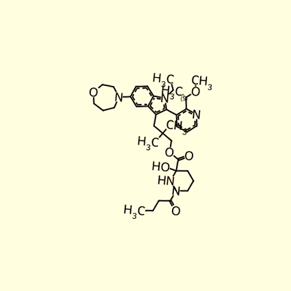 CCCC(=O)N1CCCC(O)(C(=O)OCC(C)(C)Cc2c(-c3cccnc3[C@H](C)OC)n(CC)c3ccc(N4CCCOCC4)cc23)N1